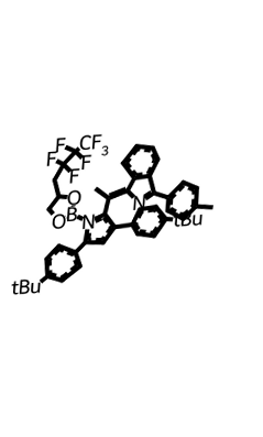 C/C(=C1/N=C(c2ccc(C)cc2)c2ccccc21)c1c(-c2ccc(C(C)(C)C)cc2)cc(-c2ccc(C(C)(C)C)cc2)n1B1OCC(CC(F)(F)C(F)(F)C(F)(F)F)O1